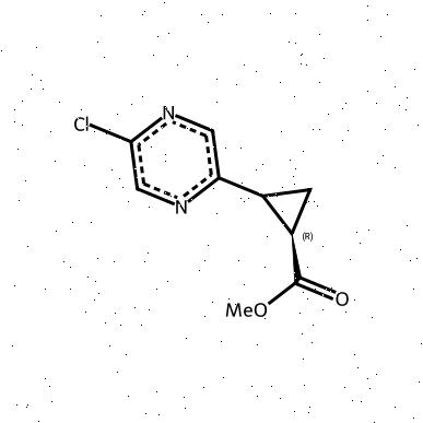 COC(=O)[C@@H]1CC1c1cnc(Cl)cn1